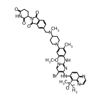 COc1cc(N2CCC(N(C)Cc3ccc4c(c3)C(=O)N(C3CCC(=O)NC3=O)C4=O)CC2)c(C)cc1Nc1ncc(Br)c(Nc2ccc3nccnc3c2P(C)(C)=O)n1